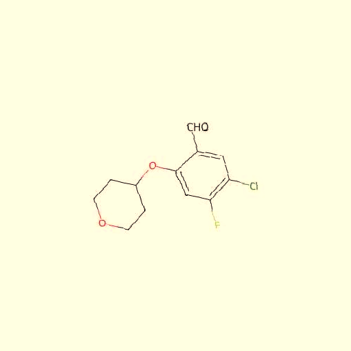 O=Cc1cc(Cl)c(F)cc1OC1CCOCC1